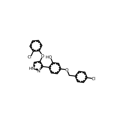 Oc1cc(OCc2ccc(Cl)cc2)ccc1-c1n[nH]cc1Oc1ccccc1Cl